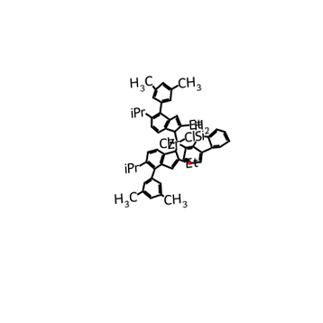 CCC1=Cc2c(ccc(C(C)C)c2-c2cc(C)cc(C)c2)[CH]1[Zr]([Cl])([Cl])([c]1cccc2c1[SiH2]c1ccccc1-2)[CH]1C(CC)=Cc2c1ccc(C(C)C)c2-c1cc(C)cc(C)c1